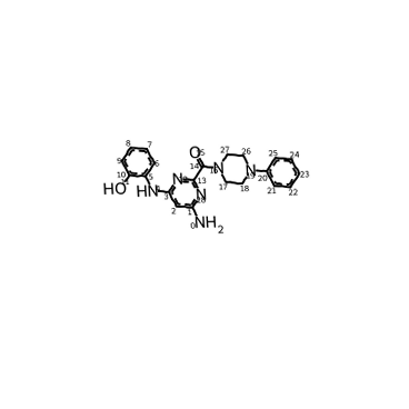 Nc1cc(Nc2ccccc2O)nc(C(=O)N2CCN(c3ccccc3)CC2)n1